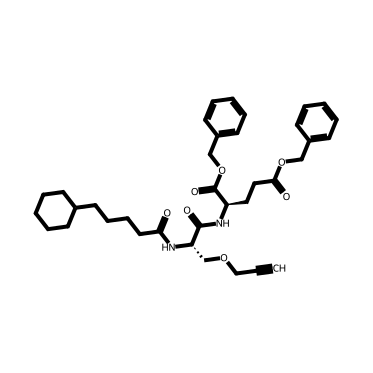 C#CCOC[C@H](NC(=O)CCCCC1CCCCC1)C(=O)N[C@H](CCC(=O)OCc1ccccc1)C(=O)OCc1ccccc1